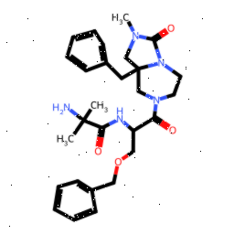 CN1CC2(Cc3ccccc3)CN(C(=O)C(COCc3ccccc3)NC(=O)C(C)(C)N)CCN2C1=O